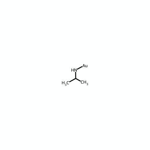 CC(C)[NH][Au]